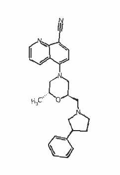 C[C@@H]1CN(c2ccc(C#N)c3ncccc23)C[C@@H](CN2CCC(c3ccccc3)C2)O1